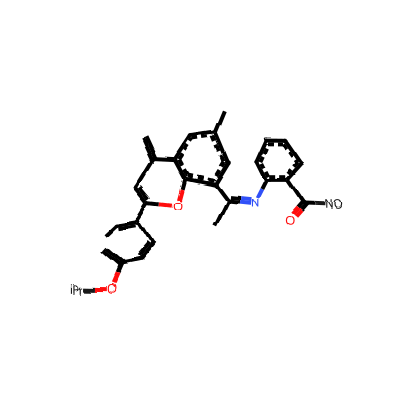 C=C(/C=C\C(=C/C)C1=CC(=C)c2cc(C)cc(/C(C)=N\c3ccccc3C(=O)N=O)c2O1)OC(C)C